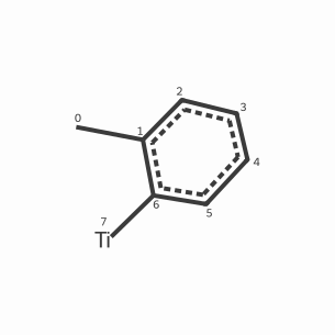 Cc1cccc[c]1[Ti]